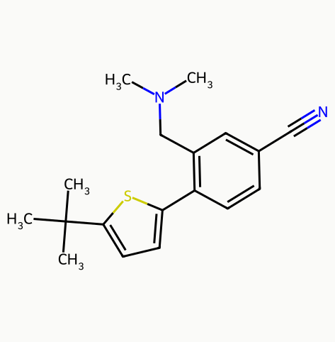 CN(C)Cc1cc(C#N)ccc1-c1ccc(C(C)(C)C)s1